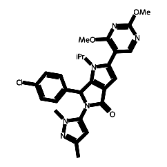 COc1ncc(-c2cc3c(n2C(C)C)C(c2ccc(Cl)cc2)N(c2cc(C)nn2C)C3=O)c(OC)n1